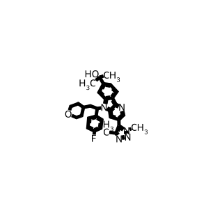 Cc1nnn(C)c1-c1cnc2c3ccc(C(C)(C)O)cc3n(C(CC3CCOCC3)c3ccc(F)cc3)c2c1